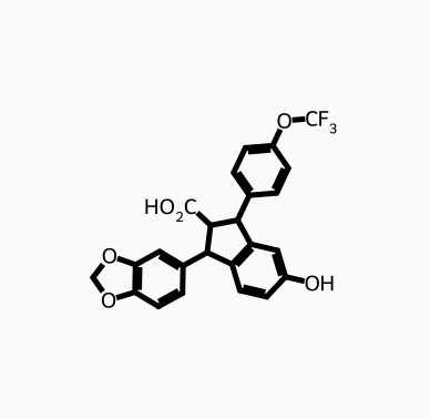 O=C(O)C1C(c2ccc3c(c2)OCO3)c2ccc(O)cc2C1c1ccc(OC(F)(F)F)cc1